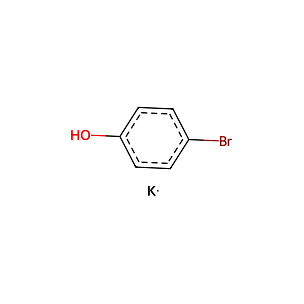 Oc1ccc(Br)cc1.[K]